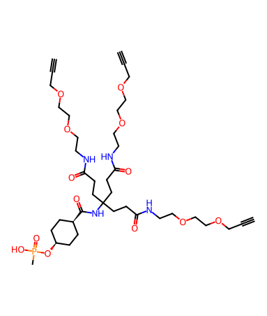 C#CCOCCOCCNC(=O)CCC(CCC(=O)NCCOCCOCC#C)(CCC(=O)NCCOCCOCC#C)NC(=O)[C@H]1CC[C@@H](OP(C)(=O)O)CC1